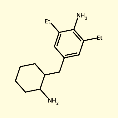 CCc1cc(CC2CCCCC2N)cc(CC)c1N